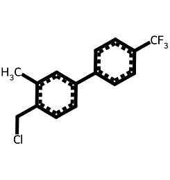 Cc1cc(-c2ccc(C(F)(F)F)cc2)ccc1CCl